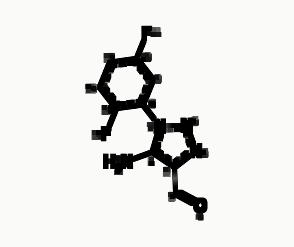 Nc1c(C=O)nnn1-c1cc(F)ccc1F